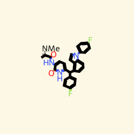 CN[C@@H](C)C(=O)Nc1ccc(C(c2ccc(F)cc2)c2cccc3c2ccn3-c2ccc(F)cc2)[nH]c1=O